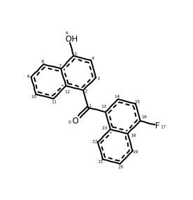 O=C(c1ccc(O)c2ccccc12)c1ccc(F)c2ccccc12